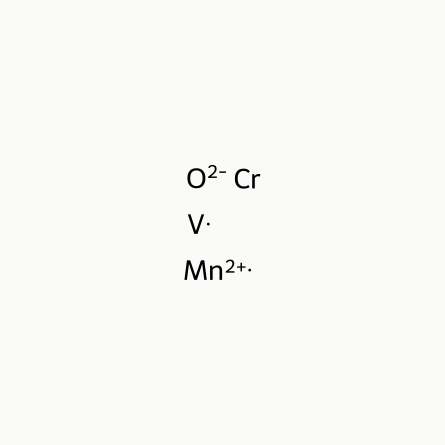 [Cr].[Mn+2].[O-2].[V]